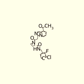 CC(=O)c1cccn2c(CC(=O)N3CC[C@H]3C(=O)NCc3cccc(Cl)c3F)ncc12